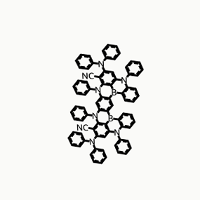 N#Cc1c(N(c2ccccc2)c2ccccc2)cc2c3c1N(c1ccccc1)c1cc4c(cc1B3c1ccccc1N2c1ccccc1)B1c2ccccc2N(c2ccccc2)c2cc(N(c3ccccc3)c3ccccc3)c(C#N)c(c21)N4c1ccccc1